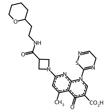 Cc1cc(N2CC(C(=O)NCCC3CCCCO3)C2)nc2c1c(=O)c(C(=O)O)cn2C1=NCC=NS1